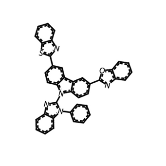 c1ccc(-n2c(-n3c4ccc(-c5nc6ccccc6o5)cc4c4cc(-c5nc6ccccc6s5)ccc43)nc3ccccc32)cc1